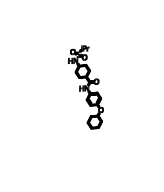 CC(C)S(=O)(=O)NC1CCC(C(=O)Nc2ccc(OC3CCCCC3)cc2)CC1